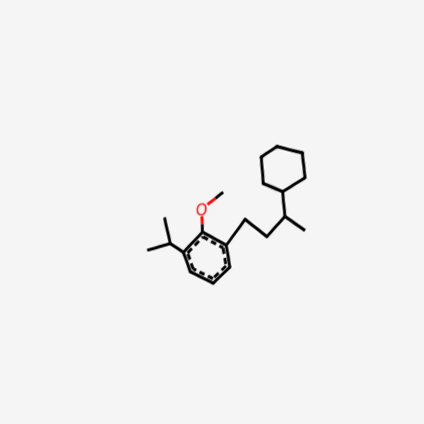 COc1c(CCC(C)C2CCCCC2)cccc1C(C)C